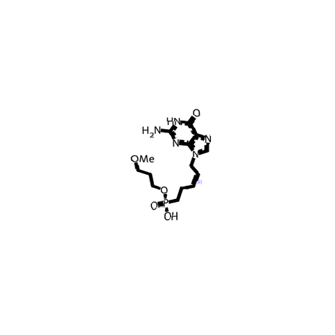 COCCCOP(=O)(O)CC/C=C\Cn1cnc2c(=O)[nH]c(N)nc21